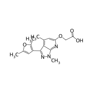 Cc1cc(-c2nn(C)c3nc(OCC(=O)O)cc(C)c23)c(C)o1